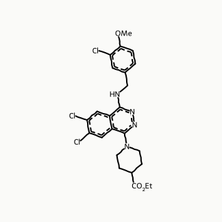 CCOC(=O)C1CCN(c2nnc(NCc3ccc(OC)c(Cl)c3)c3cc(Cl)c(Cl)cc23)CC1